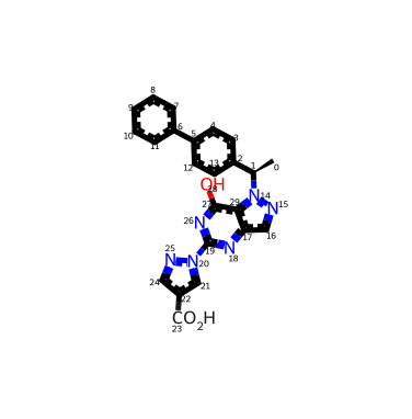 C[C@H](c1ccc(-c2ccccc2)cc1)n1ncc2nc(-n3cc(C(=O)O)cn3)nc(O)c21